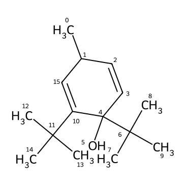 CC1C=CC(O)(C(C)(C)C)C(C(C)(C)C)=C1